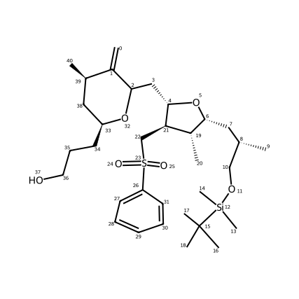 C=C1C(C[C@@H]2O[C@H](C[C@H](C)CO[Si](C)(C)C(C)(C)C)[C@H](C)[C@H]2CS(=O)(=O)c2ccccc2)O[C@@H](CCCO)C[C@H]1C